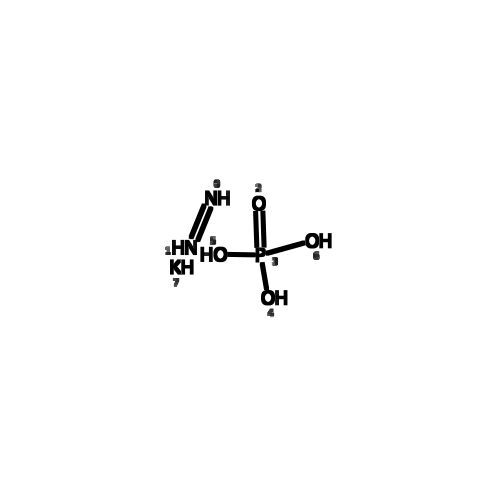 N=N.O=P(O)(O)O.[KH]